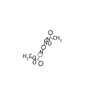 CCOC(=O)C(c1ccccc1)C1CCN(c2ccc(-n3ccn(C(CC)c4ccccc4)c3=O)cc2)CC1